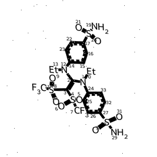 CCN(C(=C(S(=O)(=O)C(F)(F)F)S(=O)(=O)C(F)(F)F)N(CC)c1ccc(S(N)(=O)=O)cc1)c1ccc(S(N)(=O)=O)cc1